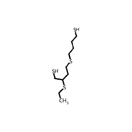 CCSC(CS)CCSCCCCS